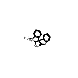 COc1ccccc1C1(c2ccccc2)C(F)=NOC1C